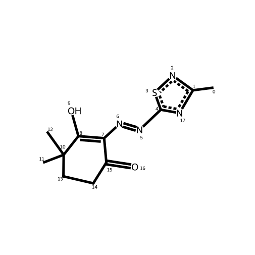 Cc1nsc(N=NC2=C(O)C(C)(C)CCC2=O)n1